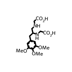 COc1cc(CC(CNCC(=O)O)NCC(=O)O)cc(OC)c1OC